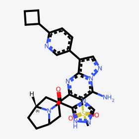 CS(=O)(=O)c1c(C2CC3CC[C@H](C2)N3C(=O)c2ncn[nH]2)nc2c(-c3ccc(C4CCC4)nc3)cnn2c1N